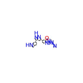 CN(C)CCN1CCN(C(=O)c2cc(-c3cnc4[nH]cc(-c5ccc6cc[nH]c6c5)c4c3)ccc2N)CC1